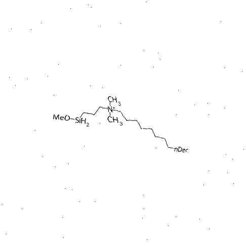 CCCCCCCCCCCCCCCCCC[N+](C)(C)CCC[SiH2]OC